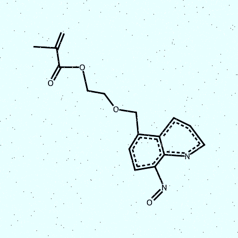 C=C(C)C(=O)OCCOCc1ccc(N=O)c2ncccc12